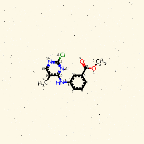 COC(=O)c1cccc(Nc2nc(Cl)ncc2C)c1